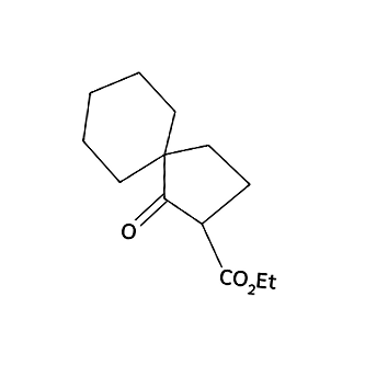 CCOC(=O)C1CCC2(CCCCC2)C1=O